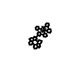 c1ccc(-c2nc(-c3ccccc3-c3ccccc3)nc(-c3ccccc3-c3cccc(-c4cc5ccc6cccc7c8cccc9ccc%10cccc(c(c4)c5c67)c%10c98)c3)n2)cc1